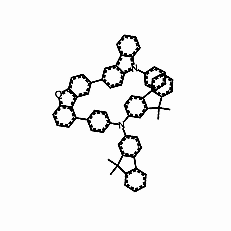 CC1(C)c2ccccc2-c2ccc(N(c3ccc(-c4cccc5oc6ccc(-c7ccc8c(c7)c7ccccc7n8-c7ccccc7)cc6c45)cc3)c3ccc4c(c3)C(C)(C)c3ccccc3-4)cc21